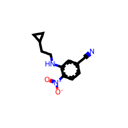 N#Cc1ccc([N+](=O)[O-])c(NCCC2CC2)c1